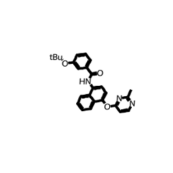 Cc1nccc(Oc2ccc(NC(=O)c3cccc(OC(C)(C)C)c3)c3ccccc23)n1